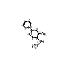 CNC1COC(N2C=CC=CC2)CC1O